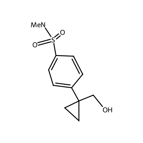 CNS(=O)(=O)c1ccc(C2(CO)CC2)cc1